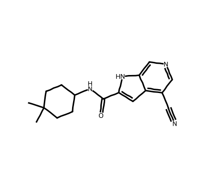 CC1(C)CCC(NC(=O)c2cc3c(C#N)cncc3[nH]2)CC1